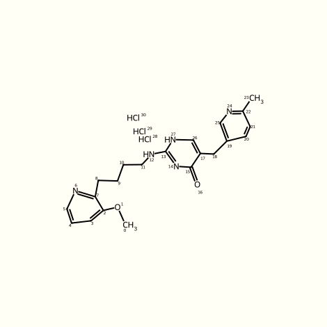 COc1cccnc1CCCCNc1nc(=O)c(Cc2ccc(C)nc2)c[nH]1.Cl.Cl.Cl